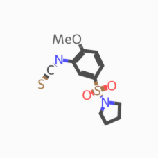 COc1ccc(S(=O)(=O)N2CCCC2)cc1N=C=S